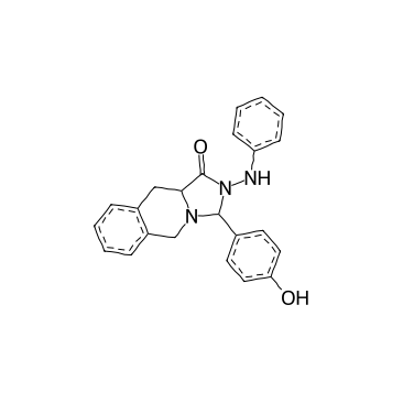 O=C1C2Cc3ccccc3CN2C(c2ccc(O)cc2)N1Nc1ccccc1